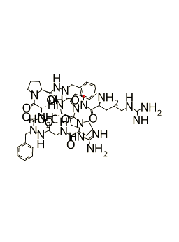 N=C(N)NCCC[C@H](N)C(=O)N1CCCN1C(=O)N1CCC[C@H]1C(=O)NCC(=O)NN(Cc1ccccc1)C(=O)N[C@@H](CO)C(=O)N1CCC[C@H]1C(=O)NN(Cc1ccccc1)C(=O)N[C@H](CCCNC(=N)N)C(=O)O